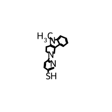 Cn1c2c(c3ccccc31)CN(c1ccc(S)cn1)CC2